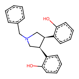 Oc1ccccc1[C@H]1CN(Cc2ccccc2)C[C@H]1c1ccccc1O